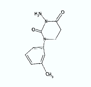 Cc1cccc(N2CCC(=O)N(N)C2=O)c1